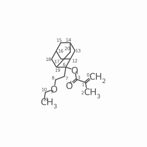 C=C(C)C(=O)OC1(CCOCC)C2CC3CC(C2)CC1C3